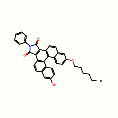 O=CCCCCCOc1ccc2c(ccc3c4c(c5ccc6cc(O)ccc6c5c32)C(=O)N(c2ccccc2)C4=O)c1